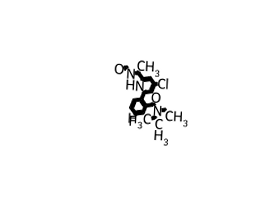 CCN(C(=O)c1cc(F)ccc1-c1cc(Cl)cc(C(C)NC=O)n1)C(C)C